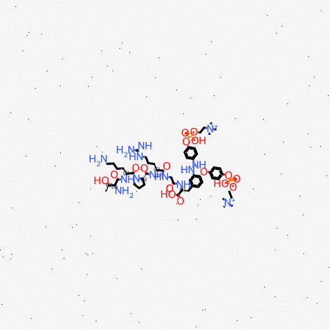 C[C@@H](O)[C@H](N)C(=O)N[C@@H](CCCCN)C(=O)N1CCC[C@H]1C(=O)N[C@@H](CCCNC(=N)N)C(=O)NCC(=O)N[C@@H](Cc1ccc(Oc2ccc(OP(=O)(O)OCC[N+](C)(C)C)cc2)c(NNc2ccc(OP(=O)(O)OCC[N+](C)(C)C)cc2)c1)C(=O)O